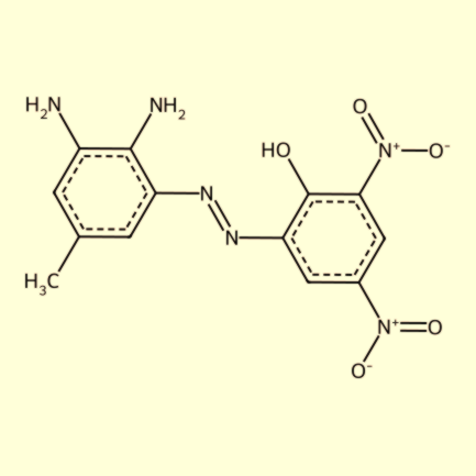 Cc1cc(N)c(N)c(N=Nc2cc([N+](=O)[O-])cc([N+](=O)[O-])c2O)c1